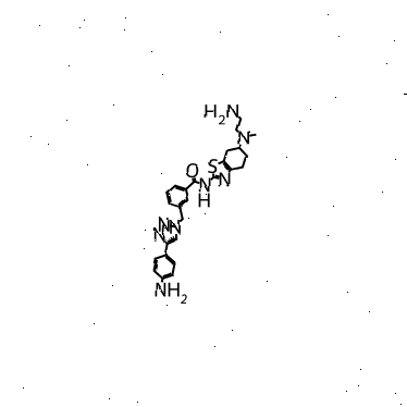 CN(CCN)[C@H]1CCc2nc(NC(=O)c3cccc(Cn4cc(-c5ccc(N)cc5)nn4)c3)sc2C1